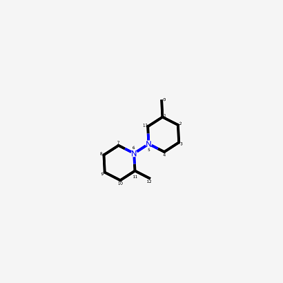 CC1CCCN(N2CCCCC2C)C1